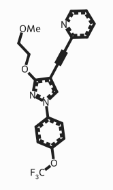 COCCOc1nn(-c2ccc(OC(F)(F)F)cc2)cc1C#Cc1ccccn1